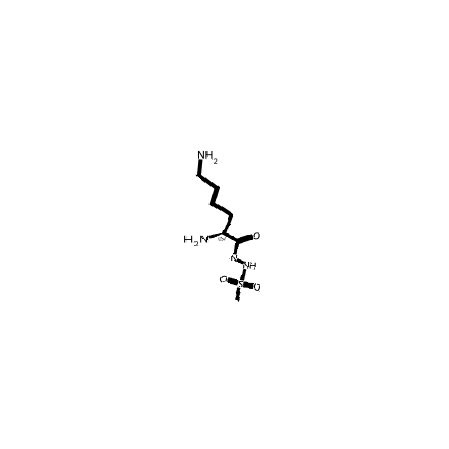 CS(=O)(=O)N[N]C(=O)[C@@H](N)CCCCN